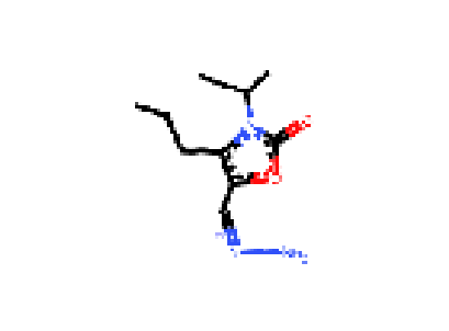 CCCc1c(/C=N\N)oc(=O)n1C(C)C